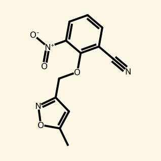 Cc1cc(COc2c(C#N)cccc2[N+](=O)[O-])no1